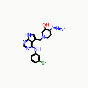 [N-]=[N+]=NC1CCN(Cc2c[nH]c3ncnc(Nc4cccc(Br)c4)c23)CC1O